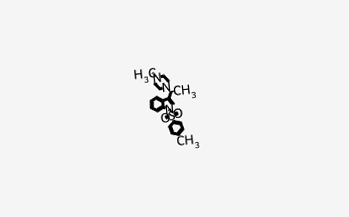 Cc1ccc(S(=O)(=O)n2cc([C@H](C)N3CCN(C)CC3)c3ccccc32)cc1